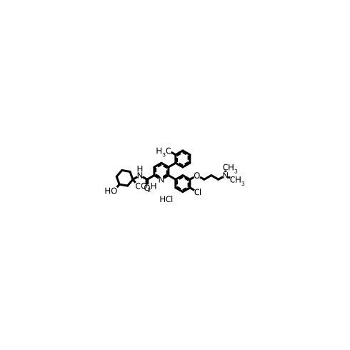 Cc1ccccc1-c1ccc(C(=O)NC2(C(=O)O)CCCC(O)C2)nc1-c1ccc(Cl)c(OCCCN(C)C)c1.Cl